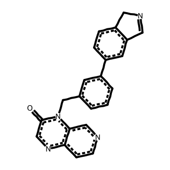 O=c1cnc2ccncc2n1Cc1cccc(-c2ccc3c(c2)C=NC3)c1